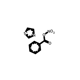 O=C(O[N+](=O)[O-])c1ccccc1.c1cscn1